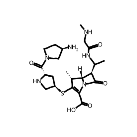 CNCC(=O)NC(C)[C@H]1C(=O)N2C(C(=O)O)=C(S[C@H]3CN[C@H](C(=O)N4CC[C@@H](N)C4)C3)[C@H](C)[C@H]12